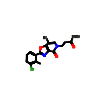 CCc1cn(CCC(=O)OC)c(=O)c2nc(-c3cccc(Br)c3C)oc12